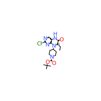 CC[C@@H]1C(=O)Nc2cnc(Cl)nc2N1C1CCN(C(=O)OC(C)(C)C)CC1